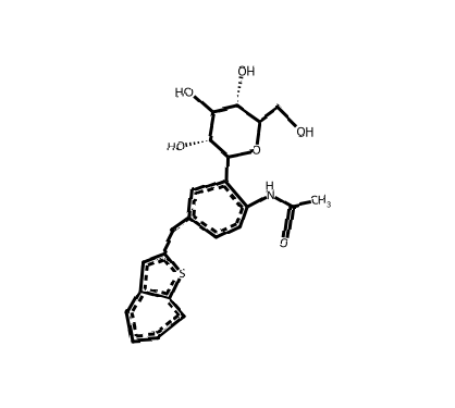 CC(=O)Nc1ccc(Cc2cc3ccccc3s2)cc1C1OC(CO)[C@@H](O)C(O)[C@H]1O